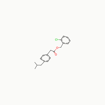 CC(C)Cc1ccc(CC(=O)OCc2ccccc2Cl)cc1